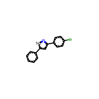 Brc1ccc(-c2cc(-c3ccccc3)[se]n2)cc1